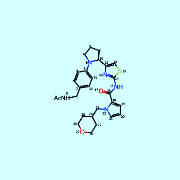 CC(=O)NCc1ccc(N2CCCC2c2csc(NC(=O)c3cccn3CC3CCOCC3)n2)cc1